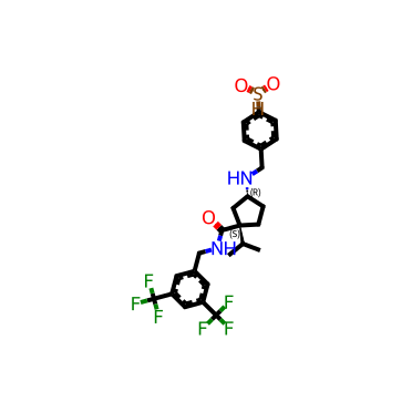 CC(C)[C@]1(C(=O)NCc2cc(C(F)(F)F)cc(C(F)(F)F)c2)CC[C@@H](NCc2ccc([SH](=O)=O)cc2)C1